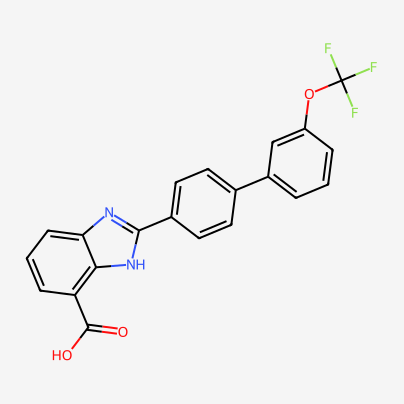 O=C(O)c1cccc2nc(-c3ccc(-c4cccc(OC(F)(F)F)c4)cc3)[nH]c12